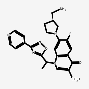 CC(c1nc(-c2ccncc2)no1)n1cc(C(=O)O)c(=O)c2cc(F)c(N3CC[C@@H](CN)C3)cc21